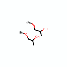 CCCOCC(C)O.CCOCC(C)O